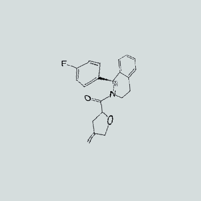 C=C1COC(C(=O)N2CCc3ccccc3[C@@H]2c2ccc(F)cc2)C1